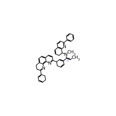 C/C=C(/C1=CC(c2ccc3ccc4c(c3n2)N=C(C2=CC=CCC2)CC4)CC=C1)N(C)C1CC=Cc2ccc(-c3ccccc3)nc21